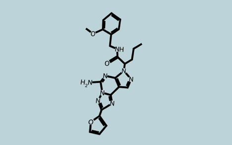 CCCC(C(=O)NCc1ccccc1OC)n1ncc2c1nc(N)n1nc(-c3ccco3)nc21